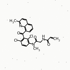 C=CC(=O)NCC(=O)N(C)c1ccc(Cl)c(C(=O)c2cccc3ccc(C)nc23)c1Cl